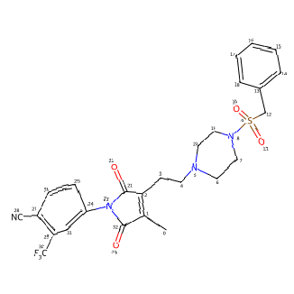 CC1=C(CCN2CCN(S(=O)(=O)Cc3ccccc3)CC2)C(=O)N(c2ccc(C#N)c(C(F)(F)F)c2)C1=O